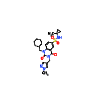 Cn1cc(Cn2c(=O)c3cc(S(=O)(=O)NC4(C)CC4)ccc3n(CC3CCCCC3)c2=O)cn1